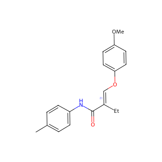 CC/C(=C\Oc1ccc(OC)cc1)C(=O)Nc1ccc(C)cc1